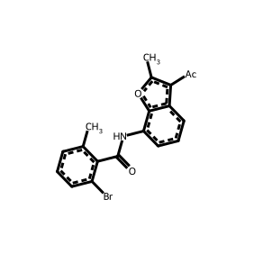 CC(=O)c1c(C)oc2c(NC(=O)c3c(C)cccc3Br)cccc12